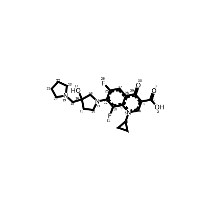 O=C(O)c1cn(C2CC2)c2c(F)c(N3CCC(O)(CN4CCCC4)C3)c(F)cc2c1=O